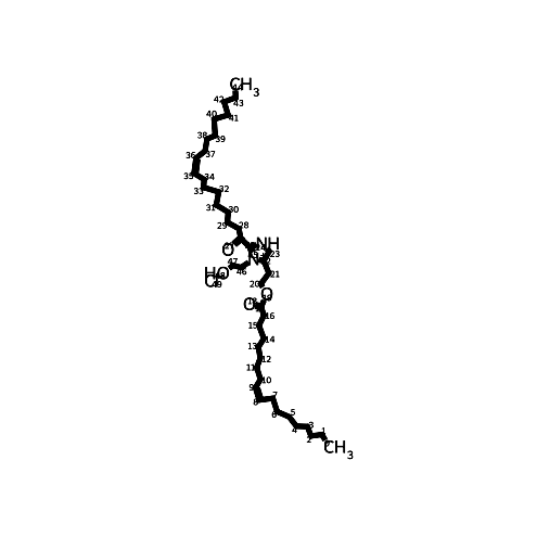 CCCCCCCC/C=C\CCCCCCCC(=O)OCCC1CNC(C(=O)CCCCCCC/C=C\CCCCCCCC)=[N+]1CCO.[Cl-]